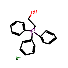 OCC[P+](c1ccccc1)(c1ccccc1)c1ccccc1.[Br-]